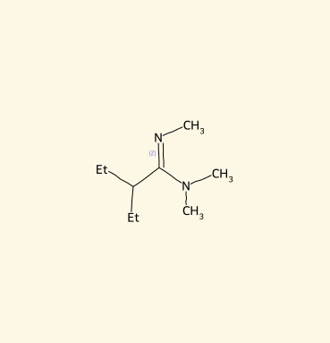 CCC(CC)/C(=N/C)N(C)C